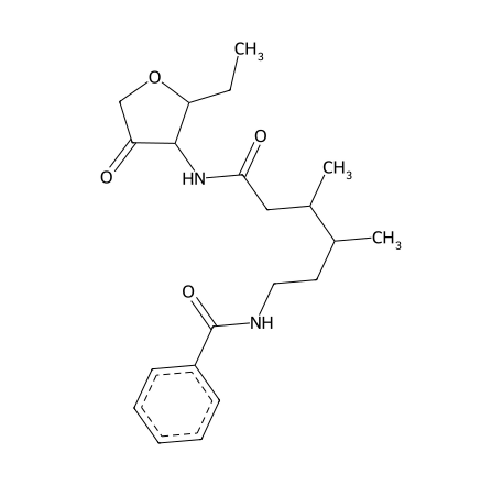 CCC1OCC(=O)C1NC(=O)CC(C)C(C)CCNC(=O)c1ccccc1